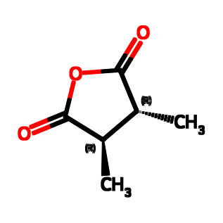 C[C@H]1C(=O)OC(=O)[C@@H]1C